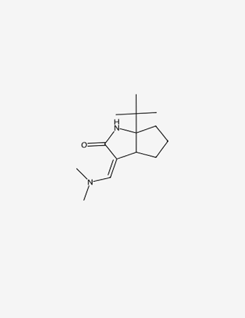 CN(C)C=C1C(=O)NC2(C(C)(C)C)CCCC12